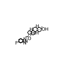 C[C@@]1(O)CC[C@@]2(C)[C@H](CC[C@@H]3[C@@H]2CC[C@]2(C)[C@@H](C(=O)Cn4nnc5cc(F)ccc54)CC[C@@H]32)C1